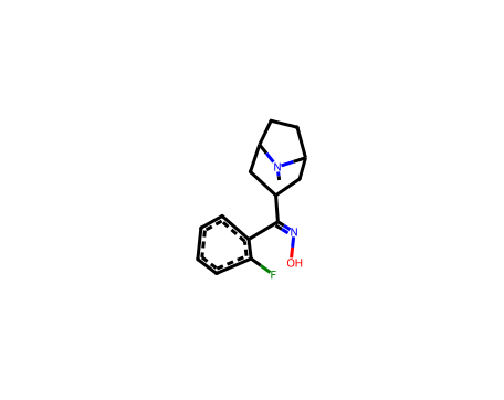 CN1C2CCC1CC(C(=NO)c1ccccc1F)C2